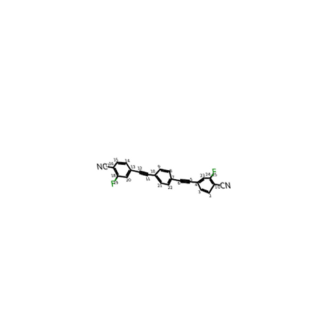 N#Cc1ccc(C#Cc2ccc(C#Cc3ccc(C#N)c(F)c3)cc2)cc1F